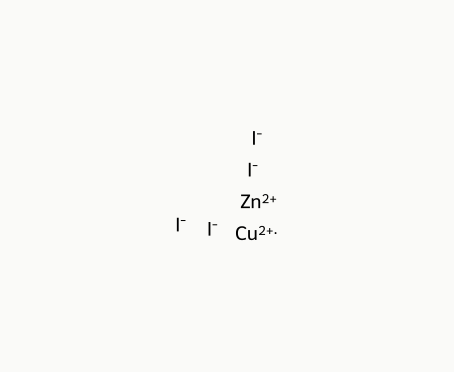 [Cu+2].[I-].[I-].[I-].[I-].[Zn+2]